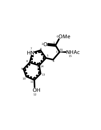 COC(=O)[C@H](Cc1c[nH]c2ccc(O)cc12)NC(C)=O